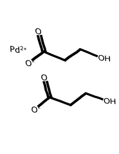 O=C([O-])CCO.O=C([O-])CCO.[Pd+2]